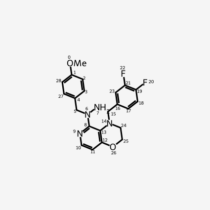 COc1ccc(CN(N)c2nccc3c2N(Cc2ccc(F)c(F)c2)CCO3)cc1